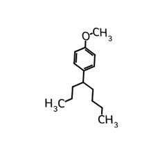 CCCCC(CCC)c1ccc(OC)cc1